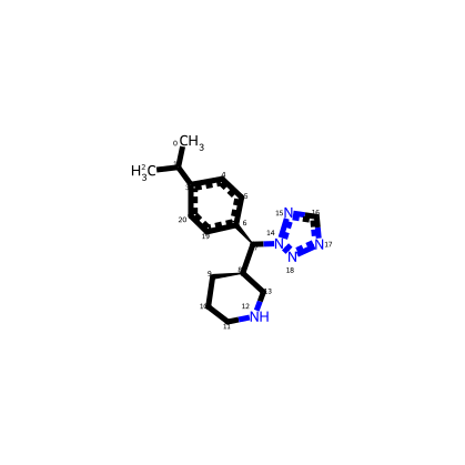 CC(C)c1ccc([C@H]([C@@H]2CCCNC2)n2ncnn2)cc1